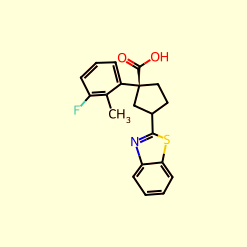 Cc1c(F)cccc1[C@]1(C(=O)O)CCC(c2nc3ccccc3s2)C1